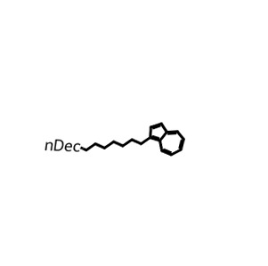 CCCCCCCCCCCCCCCCCc1ccc2cccccc1-2